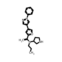 C=C(c1cc(-c2cnn(-c3ccccc3)c2)co1)N(CCC)C1CCNC1